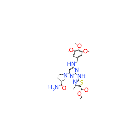 CCOC(=O)c1sc(Nc2nc(NCc3cc(OC)c(OC)c(OC)c3)cc(N3CCCC(C(N)=O)C3)n2)nc1C